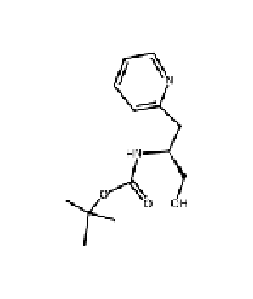 CC(C)(C)OC(=O)N[C@H](CO)Cc1ccccn1